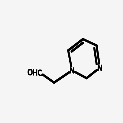 O=CCN1C=CC=NC1